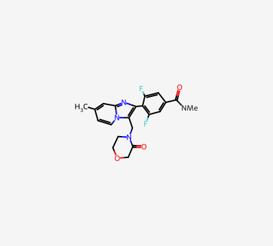 CNC(=O)c1cc(F)c(-c2nc3cc(C)ccn3c2CN2CCOCC2=O)c(F)c1